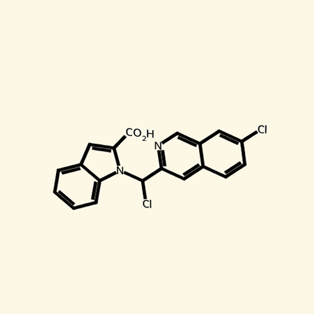 O=C(O)c1cc2ccccc2n1C(Cl)c1cc2ccc(Cl)cc2cn1